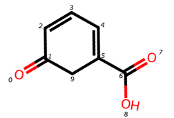 O=C1C=CC=C(C(=O)O)C1